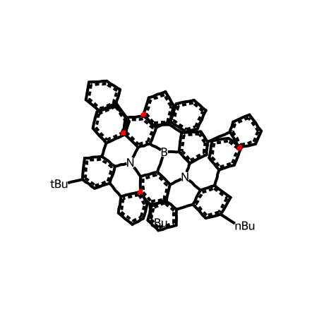 CCCCc1cc(-c2ccccc2)c(N2c3cc(-c4ccccc4)cc(-c4ccccc4)c3B3c4c(-c5ccccc5)cc(-c5ccccc5)cc4N(c4c(-c5ccccc5)cc(C(C)(C)C)cc4-c4ccccc4)c4cc(C(C)(C)C)cc2c43)c(-c2ccccc2)c1